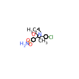 CCC(=O)c1c(-c2ccc(S(N)(=O)=O)cc2)c(C)c(-c2ccc(Cl)cc2)n1CC1CC1